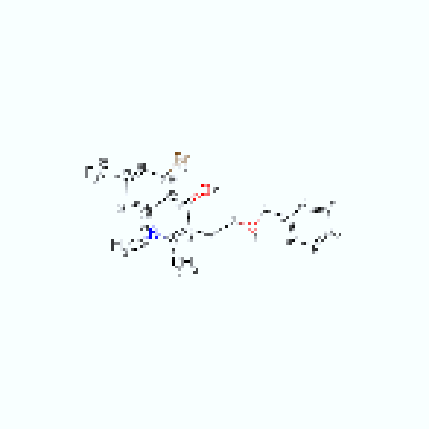 Cc1c(CCOCc2ccccc2)c(=O)c2c(Br)cc(C(F)(F)F)cc2n1C